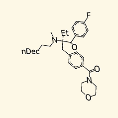 CCCCCCCCCCCCN(C)C(CC)(Cc1ccc(C(=O)N2CCOCC2)cc1)C(=O)c1ccc(F)cc1